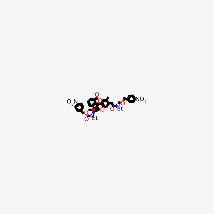 CCN(COCc1ccc([N+](=O)[O-])cc1)C(=O)Cc1cc2c(cc1C)C1(OC(=O)c3ccccc31)c1cc(C)c(N(CC)C(=O)OCc3ccc([N+](=O)[O-])cc3)cc1O2